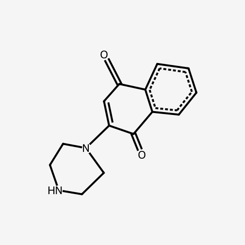 O=C1C=C(N2CCNCC2)C(=O)c2ccccc21